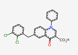 O=C(O)c1cn(-c2ccccc2)c2ccc(Cc3cccc(Cl)c3Cl)cc2c1=O